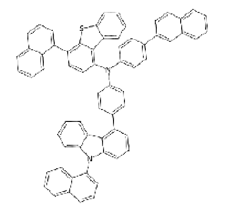 c1ccc2cc(-c3ccc(N(c4ccc(-c5cccc6c5c5ccccc5n6-c5cccc6ccccc56)cc4)c4ccc(-c5cccc6ccccc56)c5sc6ccccc6c45)cc3)ccc2c1